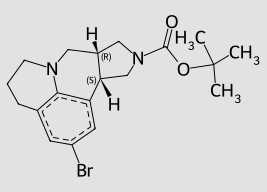 CC(C)(C)OC(=O)N1C[C@H]2CN3CCCc4cc(Br)cc(c43)[C@H]2C1